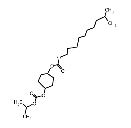 CC(C)CCCCCCCCOC(=O)OC1CCC(OC(=O)OC(C)C)CC1